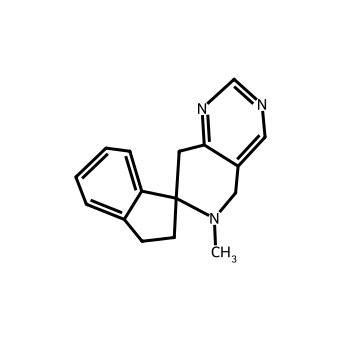 CN1Cc2cncnc2CC12CCc1ccccc12